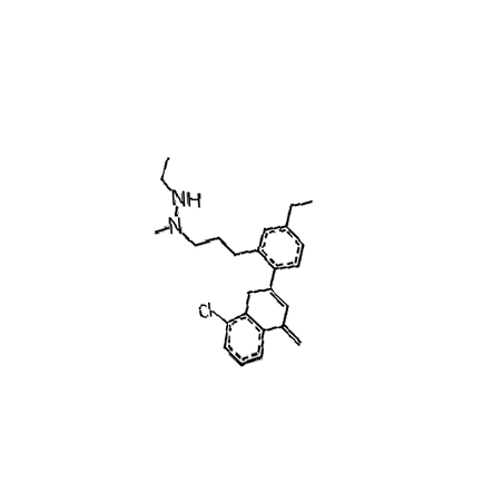 C=C1C=C(c2ccc(CC)cc2CCCN(C)NCC)Cc2c(Cl)cccc21